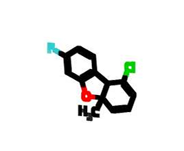 CC12C=CC=C(Cl)C1c1ccc(F)cc1O2